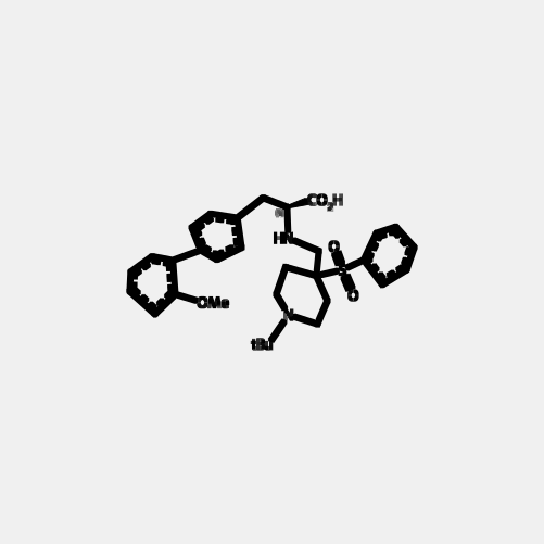 COc1ccccc1-c1ccc(C[C@H](NCC2(S(=O)(=O)c3ccccc3)CCN(C(C)(C)C)CC2)C(=O)O)cc1